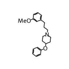 COc1cccc(CCCN2CCC(Oc3ccccc3)CC2)c1